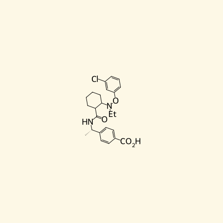 CCN(Oc1cccc(Cl)c1)C1CCCCC1C(=O)N[C@@H](C)c1ccc(C(=O)O)cc1